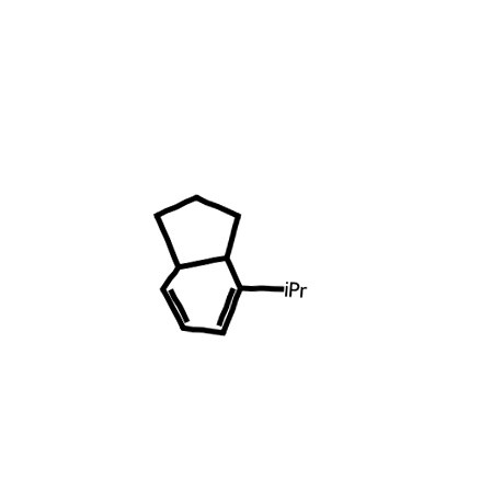 CC(C)C1=CC=CC2CCCC12